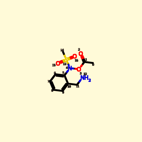 CC(=O)ON(c1ccccc1CN)S(C)(=O)=O